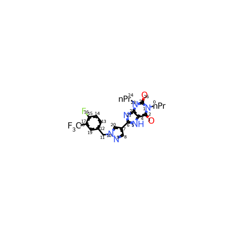 CCCn1c(=O)c2[nH]c(-c3cnn(Cc4ccc(F)c(C(F)(F)F)c4)c3)nc2n(CCC)c1=O